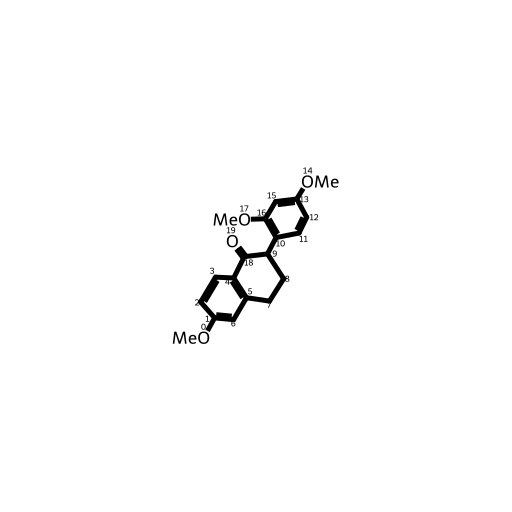 COc1ccc2c(c1)CCC(c1ccc(OC)cc1OC)C2=O